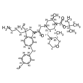 C[C@@H]1COCCN1C[C@H]1CN(C(=O)OC(C)(C)C)[C@H](C)CN1CC(=O)N1CC(C)(CCCN)c2ccc(Cc3ccc(F)cc3)cc21